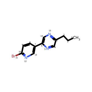 CCCc1cnc(-c2ccc(Br)nc2)cn1